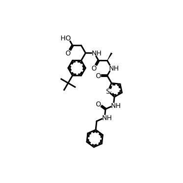 C[C@@H](NC(=O)c1ccc(NC(=O)NCc2ccccc2)s1)C(=O)NC(CC(=O)O)c1ccc(C(C)(C)C)cc1